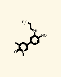 Cc1cc(-c2ccc(N=O)c(NCCC(F)(F)F)c2)cn(C)c1=O